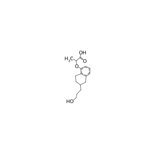 CC(Oc1cccc2c1CCC(CCCO)C2)C(=O)O